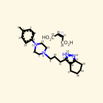 Cc1ccc(N2CCN(CCCc3[nH]nc4c3CCCC4)CC2)cc1.O=C(O)/C=C\C(=O)O